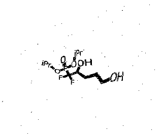 CC(C)OP(=O)(OC(C)C)C(F)(F)C(O)CCCO